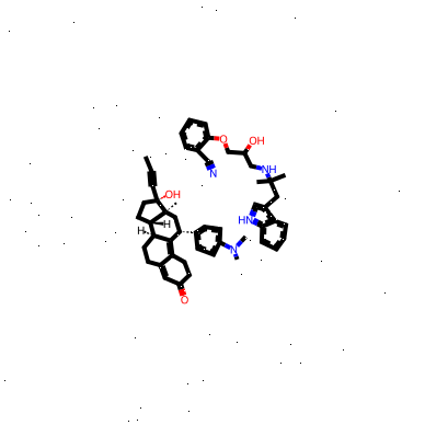 CC#C[C@]1(O)CC[C@H]2[C@@H]3CCC4=CC(=O)CCC4=C3[C@@H](c3ccc(N(C)C)cc3)C[C@@]21C.CC(C)(Cc1c[nH]c2ccccc12)NCC(O)COc1ccccc1C#N